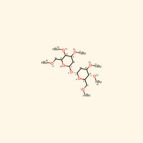 CCCCOCC1O[C@H](O[C@@H]2CC(OCCCC)[C@H](OCCCC)C(COCCCC)O2)CC(OCCCC)[C@@H]1OCCCC